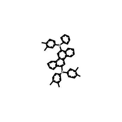 Cc1ccc(N(c2ccccc2)c2cc3c4ccccc4c(N(c4ccc(C)c(C)c4)c4ccc(C)c(C)c4)cc3c3ccccc23)cc1C